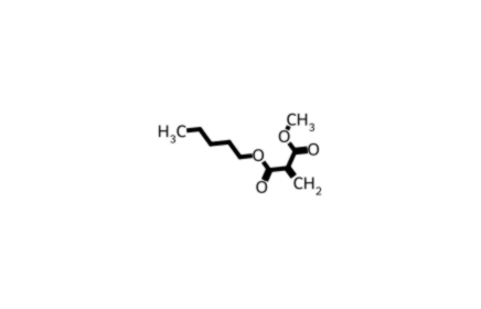 C=C(C(=O)OC)C(=O)OCCCCC